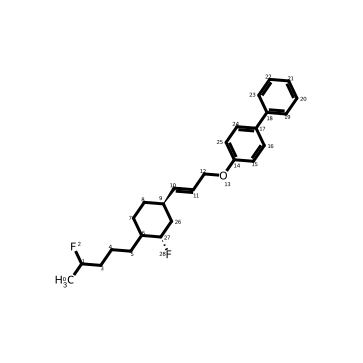 CC(F)CCCC1CC[C@@H](/C=C/COc2ccc(-c3ccccc3)cc2)C[C@@H]1F